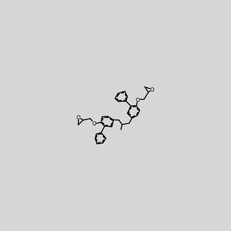 CC(Cc1ccc(OCC2CO2)c(-c2ccccc2)c1)Cc1ccc(OCC2CO2)c(-c2ccccc2)c1